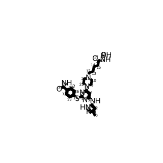 Cc1cc(Nc2cc(N3CCN(CCCCC(=O)NO)CC3)nc(Sc3ccc(C(N)=O)cc3)n2)[nH]n1